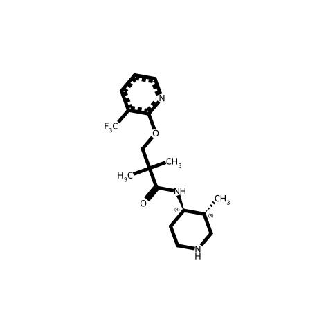 C[C@@H]1CNCC[C@H]1NC(=O)C(C)(C)COc1ncccc1C(F)(F)F